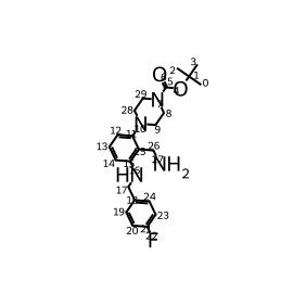 CC(C)(C)OC(=O)N1CCN(c2cccc(NCc3ccc(F)cc3)c2CN)CC1